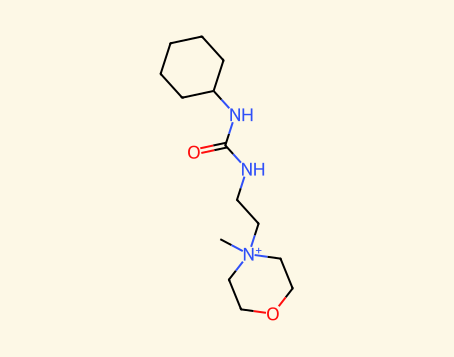 C[N+]1(CCNC(=O)NC2CCCCC2)CCOCC1